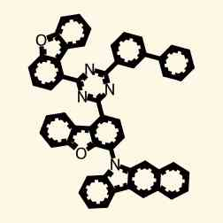 c1ccc(-c2cccc(-c3nc(-c4cccc5oc6ccccc6c45)nc(-c4ccc(-n5c6ccccc6c6cc7ccccc7cc65)c5oc6ccccc6c45)n3)c2)cc1